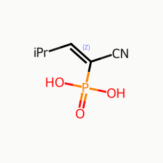 CC(C)/C=C(/C#N)P(=O)(O)O